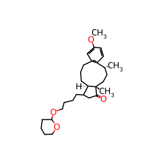 COc1ccc2c(c1)CCC[C@@H]1C(CCCCOC3CCCCO3)CC(=O)[C@@]1(C)CC[C@H]2C